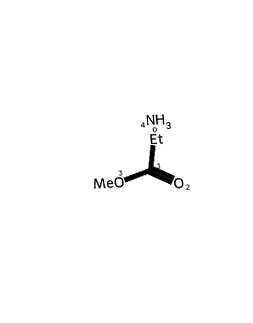 CCC(=O)OC.N